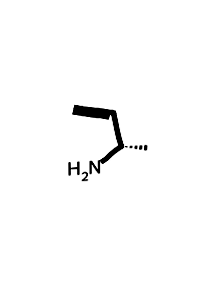 C=C[C@H](C)N